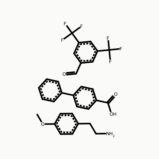 COc1ccc(CCN)cc1.O=C(O)c1ccc(-c2ccccc2)cc1.O=Cc1cc(C(F)(F)F)cc(C(F)(F)F)c1